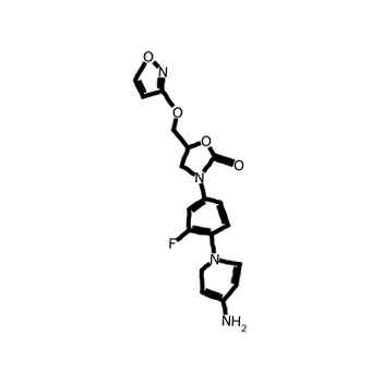 NC1=CCN(c2ccc(N3CC(COc4ccon4)OC3=O)cc2F)C=C1